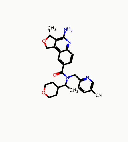 CC(C1CCOCC1)N(Cc1ccc(C#N)cn1)C(=O)c1ccc2nc(N)c3c(c2c1)CO[C@@H]3C